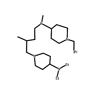 CCN(CC)C1CCN(CC(C)CCN(C)C2CCN(CC(C)C)CC2)CC1